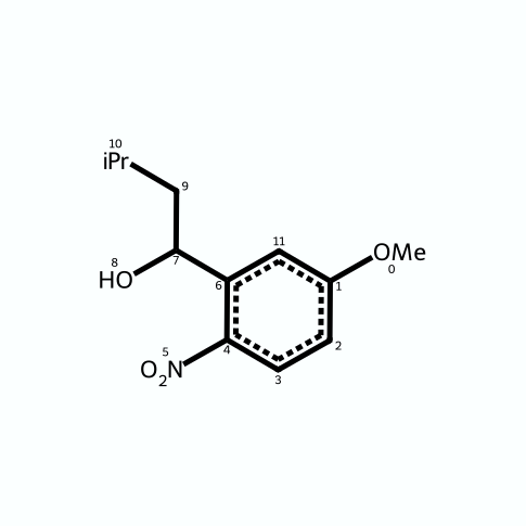 COc1ccc([N+](=O)[O-])c(C(O)CC(C)C)c1